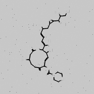 C=C1CCC(O)CC(=O)OC(/C(C)=C/C=C/C(C)CC2OC2C(C)C(O)CC)C(C)/C=C/C1OC(=O)N1CCOCC1